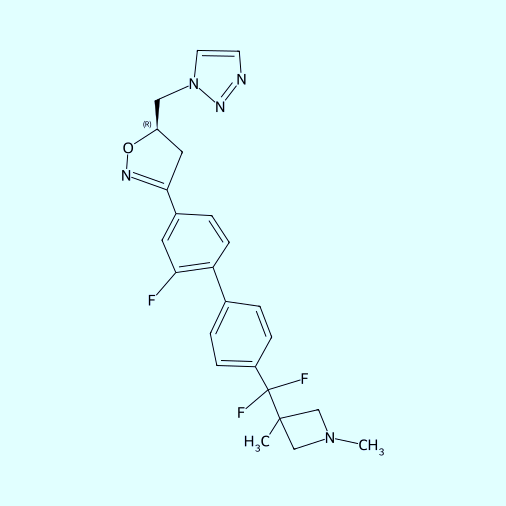 CN1CC(C)(C(F)(F)c2ccc(-c3ccc(C4=NO[C@@H](Cn5ccnn5)C4)cc3F)cc2)C1